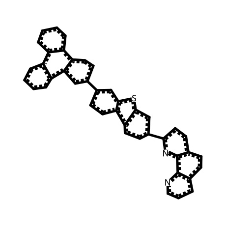 c1cnc2c(c1)ccc1ccc(-c3ccc4c(c3)sc3cc(-c5ccc6c7ccccc7c7ccccc7c6c5)ccc34)nc12